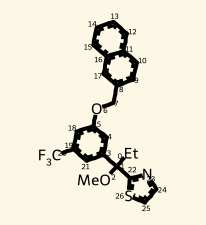 CCC(OC)(c1cc(OCc2ccc3ccccc3c2)cc(C(F)(F)F)c1)c1nccs1